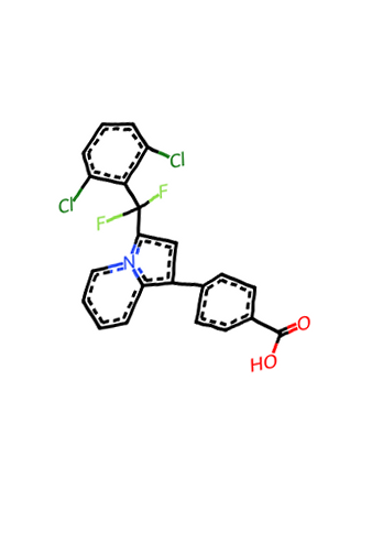 O=C(O)c1ccc(-c2cc(C(F)(F)c3c(Cl)cccc3Cl)n3ccccc23)cc1